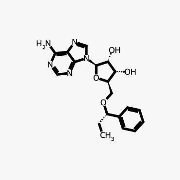 CC[C@H](OC[C@H]1O[C@@H](n2cnc3c(N)ncnc32)[C@H](O)[C@@H]1O)c1ccccc1